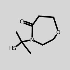 CC(C)(S)N1CCOCCC1=O